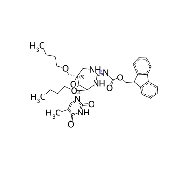 CCCCOC[C@]12CN/C(=N/C(=O)OCC3c4ccccc4-c4ccccc43)NC(C1OCCCC)[C@H](n1cc(C)c(=O)[nH]c1=O)O2